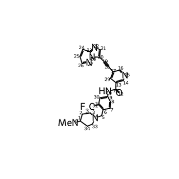 CNC1CCN(Cc2ccc(NC(=O)c3cncc(C#Cc4cnc5cccnn45)c3)cc2C(F)(F)F)CC1